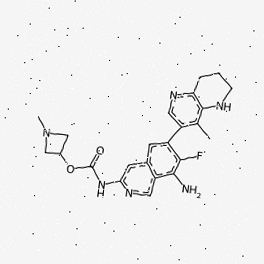 Cc1c(-c2cc3cc(NC(=O)OC4CN(C)C4)ncc3c(N)c2F)cnc2c1NCCC2